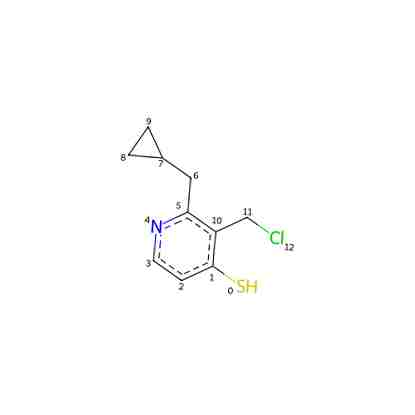 Sc1ccnc(CC2CC2)c1CCl